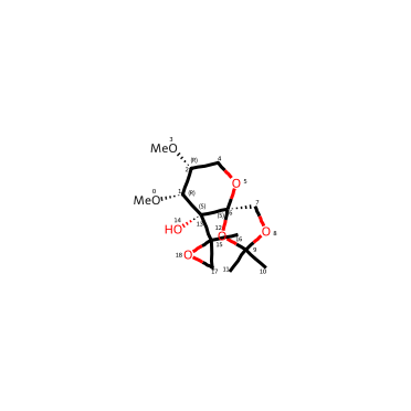 CO[C@@H]1[C@H](OC)CO[C@]2(COC(C)(C)O2)[C@@]1(O)C1(C)CO1